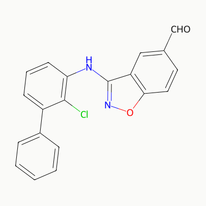 O=Cc1ccc2onc(Nc3cccc(-c4ccccc4)c3Cl)c2c1